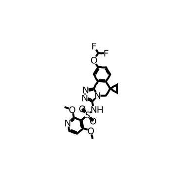 COc1ccnc(OC)c1S(=O)(=O)Nc1nnc2n1CC1(CC1)c1ccc(OC(F)F)cc1-2